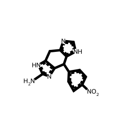 Nc1nc2c([nH]1)Cc1nc[nH]c1C2c1ccc([N+](=O)[O-])cc1